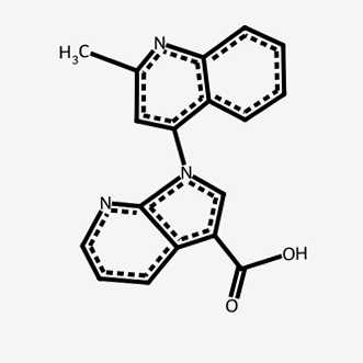 Cc1cc(-n2cc(C(=O)O)c3cccnc32)c2ccccc2n1